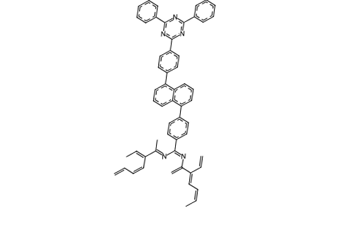 C=C\C=C/C(=C\C)C(/C)=N/C(=N\C(=C)/C(C=C)=C/C=C\C)c1ccc(-c2cccc3c(-c4ccc(-c5nc(-c6ccccc6)nc(-c6ccccc6)n5)cc4)cccc23)cc1